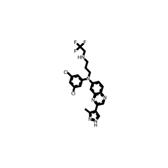 Cc1n[nH]cc1-c1cnc2ccc(N(CCCNCC(F)(F)F)c3cc(Cl)cc(Cl)c3)cc2n1